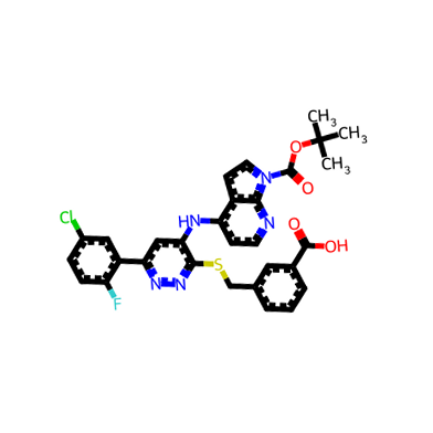 CC(C)(C)OC(=O)n1ccc2c(Nc3cc(-c4cc(Cl)ccc4F)nnc3SCc3cccc(C(=O)O)c3)ccnc21